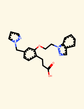 O=C(O)CCc1ccc(Cn2cccn2)cc1OCCn1ncc2ccccc21